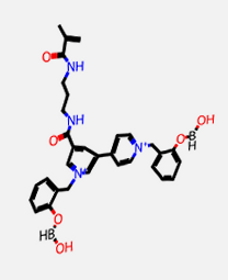 C=C(C)C(=O)NCCCNC(=O)c1cc(-c2cc[n+](Cc3ccccc3OBO)cc2)c[n+](Cc2ccccc2OBO)c1